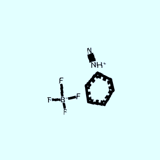 F[B-](F)(F)F.N#[NH+].c1ccccc1